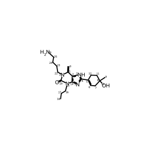 C=C1c2[nH]c(C3=CCC(C)(O)CC3)nc2N(CCC)C(=O)N1CCCCN